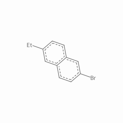 [CH2]Cc1ccc2cc(Br)ccc2c1